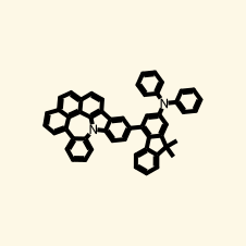 CC1(C)c2ccccc2-c2c(-c3ccc4c(c3)c3ccc5ccc6cccc7c8ccccc8n4c3c5c67)cc(N(c3ccccc3)c3ccccc3)cc21